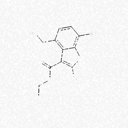 CCOC(=O)c1c(C)oc2c(N)ccc(CO)c12